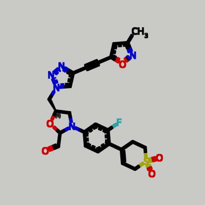 Cc1cc(C#Cc2cn(C[C@H]3CN(c4ccc(C5=CCS(=O)(=O)CC5)c(F)c4)C(C=O)O3)nn2)on1